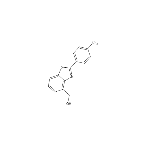 OCc1cccc2sc(-c3ccc(C(F)(F)F)cc3)nc12